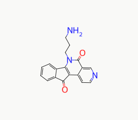 NCCCn1c2c(c3ccncc3c1=O)C(=O)c1ccccc1-2